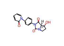 O=C1[C@@H]2[C@@H](O)CCN2C(=O)N1c1ccc(-n2ccccc2=O)cc1